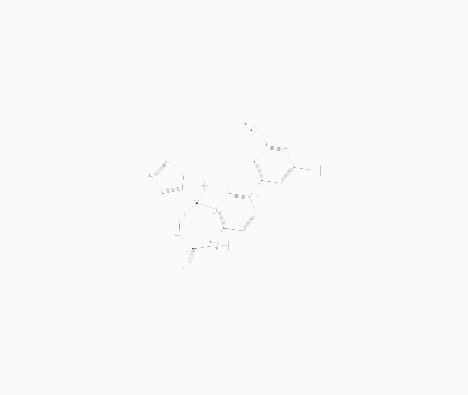 CCC1(c2ccco2)OCC(=O)Nc2ccc(-c3cc(Cl)cc(C#N)c3)cc21